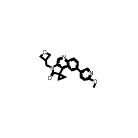 COc1ccc(-c2ccc3ncc4c(c3c2)C2(CC2)C(=O)N4CC2COC2)cn1